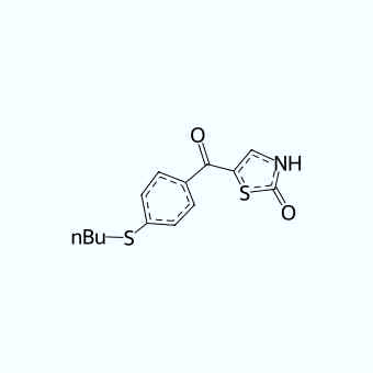 CCCCSc1ccc(C(=O)c2c[nH]c(=O)s2)cc1